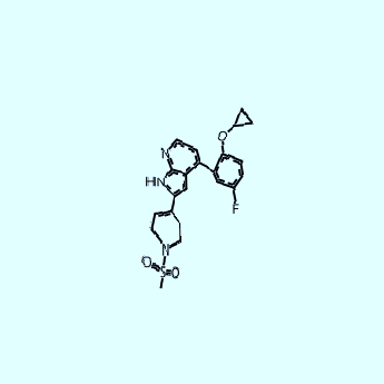 CS(=O)(=O)N1CC=C(c2cc3c(-c4cc(F)ccc4OC4CC4)ccnc3[nH]2)CC1